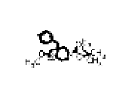 COC(=O)CC1(Cc2ccccc2)CN(C(=O)OC(C)(C)C)CCC1=O